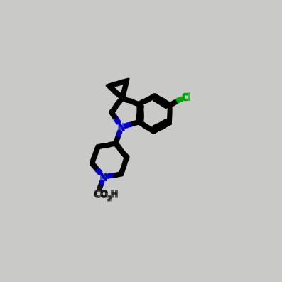 O=C(O)N1CCC(N2CC3(CC3)c3cc(Cl)ccc32)CC1